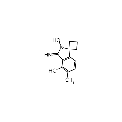 Cc1ccc2c(c1O)C(=N)N(O)C21CCC1